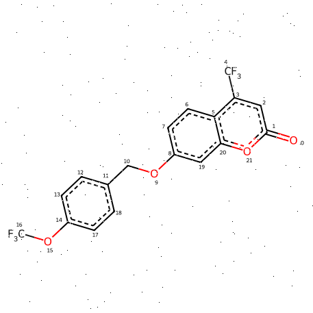 O=c1cc(C(F)(F)F)c2ccc(OCc3ccc(OC(F)(F)F)cc3)cc2o1